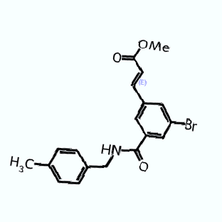 COC(=O)/C=C/c1cc(Br)cc(C(=O)NCc2ccc(C)cc2)c1